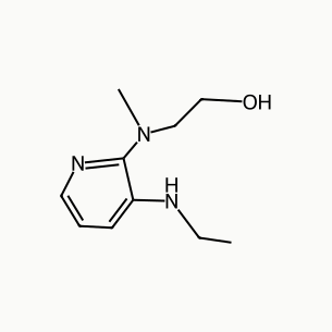 CCNc1cccnc1N(C)CCO